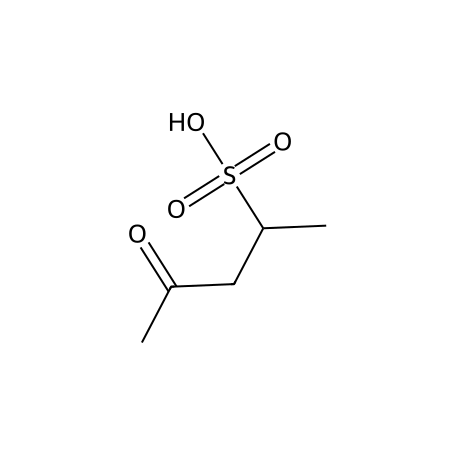 CC(=O)CC(C)S(=O)(=O)O